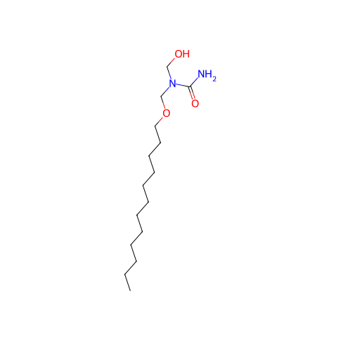 CCCCCCCCCCCCOCN(CO)C(N)=O